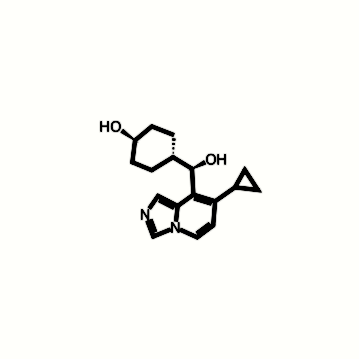 O[C@@H](c1c(C2CC2)ccn2cncc12)[C@H]1CC[C@H](O)CC1